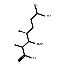 C=C(O)C(C)C(OC)[C@@H](C)CCC(CC)OC